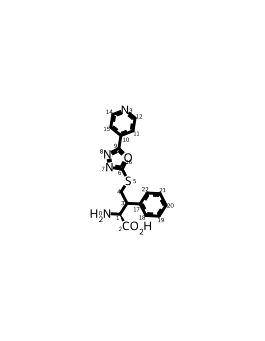 N[C@H](C(=O)O)C(CSc1nnc(-c2ccncc2)o1)c1ccccc1